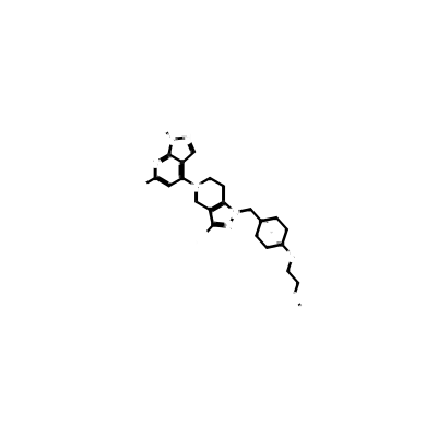 CCOCCNC12CCC(Cn3nc(C)c4c3CCN(c3cc(C)nc5c3cnn5C)C4)(CC1)CC2